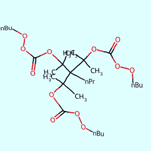 CCCCOOC(=O)OC(C)(C)C(CCC)(C(C)(C)OC(=O)OOCCCC)C(C)(C)OC(=O)OOCCCC